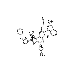 CN(C)C1CN(c2nc3c(F)c(-c4cc(O)cc5ccccc45)c(CCC#N)cc3c3c2nc(-c2ccn(Cc4ccccc4)n2)n3C2C3CNC2C3)C1